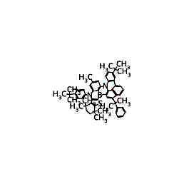 Cc1cc2c3c(c1)N(c1ccc(C(C)(C)C)cc1)c1c(sc4c1C(C)(C)CCC4(C)C)B3c1cc(C(C)(C)c3ccccc3)ccc1N2c1ccc(C(C)(C)C)cc1-c1ccccc1